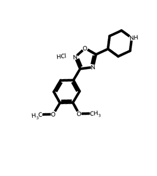 COc1ccc(-c2noc(C3CCNCC3)n2)cc1OC.Cl